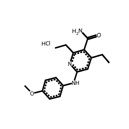 CCc1cc(Nc2ccc(OC)cc2)nc(CC)c1C(N)=O.Cl